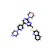 c1ccc2nc(SCc3cn4c(-c5ccc(N6CCNCC6)nc5)cnc(N5CCOCC5)c4n3)ccc2c1